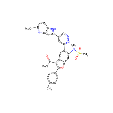 CNC(=O)c1c(-c2ccc(C)cc2)oc2cc(N(C)S(C)(=O)=O)c(-c3cc(-c4cc5nc(OC)ccc5[nH]4)cnn3)cc12